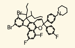 CCCC(C)C1(C(C)CCC)c2c(Br)cc(Br)cc2-c2c1c1c(c3c(F)cc(F)cc23)OC(c2ccc(F)cc2)(c2ccc(N3CCCCC3)cc2)C=C1